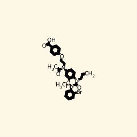 C=CCN(C(=O)Nc1ccccc1Br)c1ccc(N(CCOc2ccc(C(=O)O)cc2)C(C)=O)cc1OC